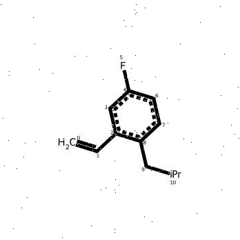 C=Cc1cc(F)ccc1CC(C)C